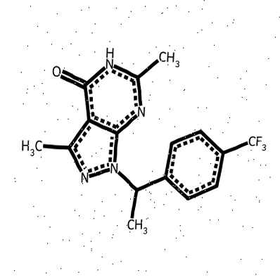 Cc1nc2c(c(C)nn2C(C)c2ccc(C(F)(F)F)cc2)c(=O)[nH]1